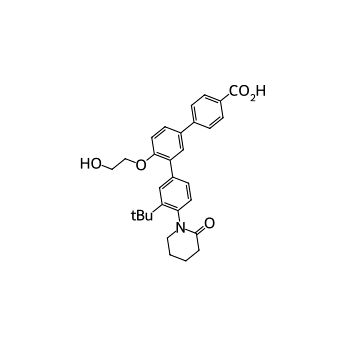 CC(C)(C)c1cc(-c2cc(-c3ccc(C(=O)O)cc3)ccc2OCCO)ccc1N1CCCCC1=O